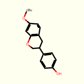 CCCCOc1ccc2c(c1)OCC(c1ccc(O)cc1)C2